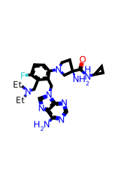 CCN(CC)Cc1c(F)ccc(N2CC[C@](N)(C(=O)NC3CC3)C2)c1Cn1cnc2c(N)ncnc21